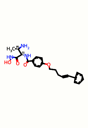 C[C@@H](N)[C@H](NC(=O)c1ccc(OCCCC#Cc2ccccc2)cc1)C(=O)NO